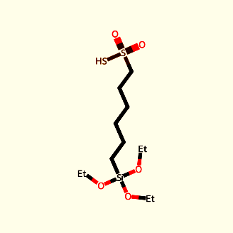 CCO[Si](CCCCCCS(=O)(=O)S)(OCC)OCC